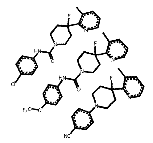 Cc1cccnc1C1(F)CCN(C(=O)Nc2ccc(Cl)cc2)CC1.Cc1cccnc1C1(F)CCN(C(=O)Nc2ccc(OC(F)(F)F)cc2)CC1.Cc1cccnc1C1(F)CCN(c2ccc(C#N)cc2)CC1